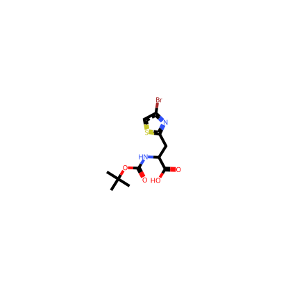 CC(C)(C)OC(=O)NC(Cc1nc(Br)cs1)C(=O)O